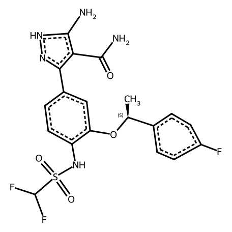 C[C@H](Oc1cc(-c2n[nH]c(N)c2C(N)=O)ccc1NS(=O)(=O)C(F)F)c1ccc(F)cc1